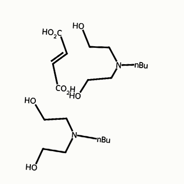 CCCCN(CCO)CCO.CCCCN(CCO)CCO.O=C(O)/C=C/C(=O)O